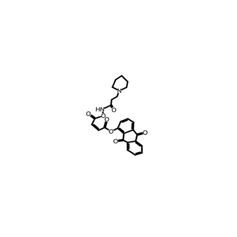 O=C(CCN1CCCCC1)NOC(=O)/C=C\C(=O)Oc1cccc2c1C(=O)c1ccccc1C2=O